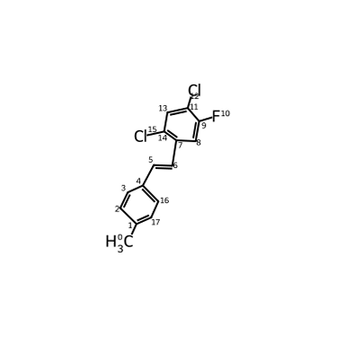 Cc1ccc(C=Cc2cc(F)c(Cl)cc2Cl)cc1